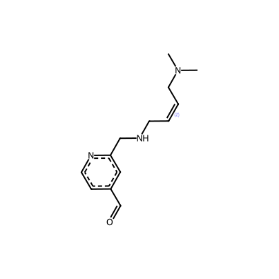 CN(C)C/C=C\CNCc1cc(C=O)ccn1